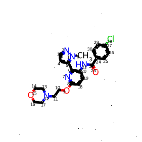 Cn1nccc1-c1nc(OCCN2CCOCC2)ccc1NC(=O)c1ccc(Cl)cc1